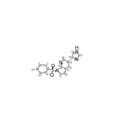 Cc1ccc(S(=O)(=O)n2ccc3cc(-c4c[nH]cn4)cnc32)cc1